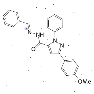 COc1ccc(-c2cc(C(=O)N/N=C/c3ccccc3)n(-c3ccccc3)n2)cc1